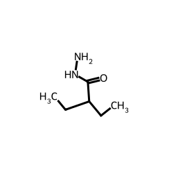 CCC(CC)C(=O)NN